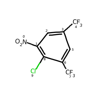 O=[N+]([O-])c1cc(C(F)(F)F)cc(C(F)(F)F)c1Cl